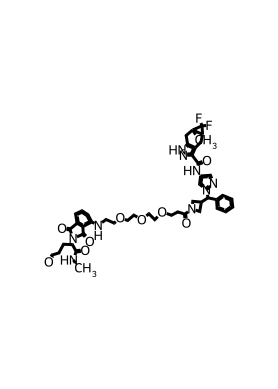 CNC(=O)C(CCC=O)N1C(=O)c2cccc(NCCOCCOCCOCCC(=O)N3CC(C(c4ccccc4)n4cc(NC(=O)c5n[nH]c6c5CC5C(F)(F)C5(C)C6)cn4)C3)c2C1=O